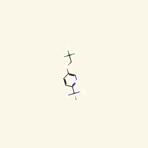 C[C@@](N)(I)c1ccc(OCC(F)(F)F)cn1